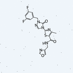 Cc1nc(-n2cnn(Cc3cc(F)cc(F)c3)c2=O)sc1C(=O)NCc1cocn1